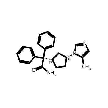 Cc1cncn1[C@@H]1CC[C@H](C(C(N)=O)(c2ccccc2)c2ccccc2)C1